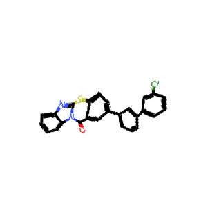 O=c1c2cc(-c3cccc(-c4cccc(Cl)c4)c3)ccc2sc2nc3ccccc3n12